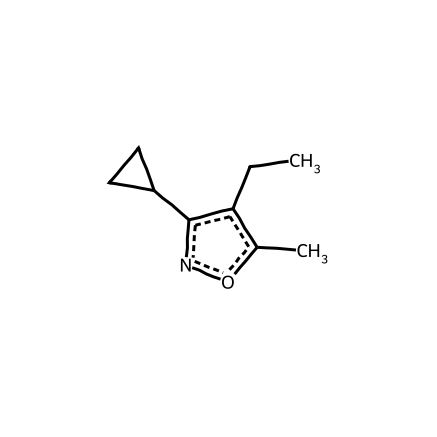 CCc1c(C2CC2)noc1C